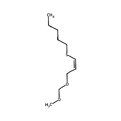 CCCCCS/C=C\COCOC